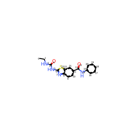 CCNC(=O)Nc1nc2ccc(C(=O)Nc3ccccc3)cc2s1